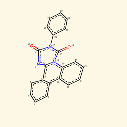 O=c1nc2c3ccccc3c3ccccc3n2c(=O)n1-c1ccccc1